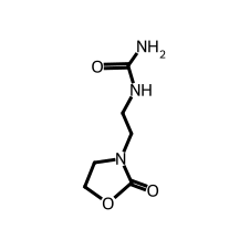 NC(=O)NCCN1CCOC1=O